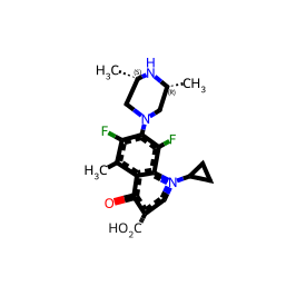 Cc1c(F)c(N2C[C@@H](C)N[C@@H](C)C2)c(F)c2c1c(=O)c(C(=O)O)cn2C1CC1